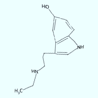 CCNCCc1c[nH]c2ccc(O)cc12